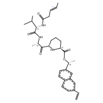 C=Cc1ccc2ccc([C@@H](C)OC(=O)[C@@H]3CCCN(C(=O)[C@H](C)NC(=O)[C@@H](NC(=O)C/C=C/C)C(C)C)N3)cc2c1